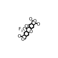 O=C1OCc2cc3c(cc21)C(C(F)(F)F)(C(F)(F)F)c1cc2c(cc1O3)C(=O)OC2=O